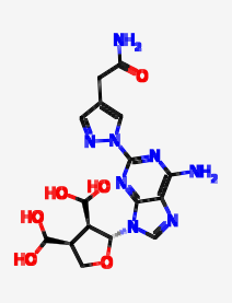 NC(=O)Cc1cnn(-c2nc(N)c3ncn([C@@H]4OC[C@@H](C(O)O)[C@H]4C(O)O)c3n2)c1